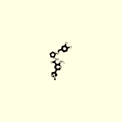 Cn1cc(-c2cnc(N)c(C(=O)N[C@@H]3CCC[C@H]3OCc3ccc(Cl)c(Cl)c3)c2)cn1